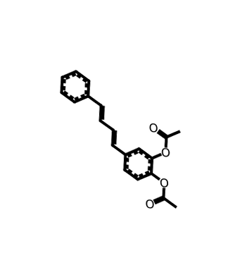 CC(=O)Oc1ccc(C=CC=Cc2ccccc2)cc1OC(C)=O